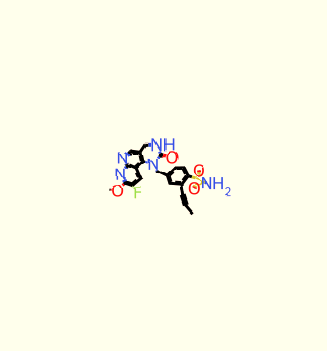 CC#Cc1cc(CN2C(=O)NCc3cnc4nc(OC)c(F)cc4c32)ccc1S(N)(=O)=O